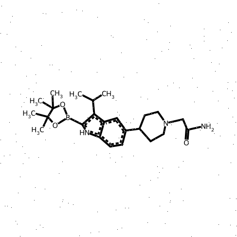 CC(C)c1c(B2OC(C)(C)C(C)(C)O2)[nH]c2ccc(C3CCN(CC(N)=O)CC3)cc12